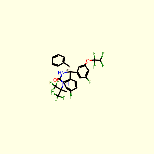 CC(NC(=O)N[C@](Cc1ccccc1)(c1ccc(F)cc1)c1cc(F)cc(OC(F)(F)C(F)F)c1)(C(F)(F)F)C(F)(F)F